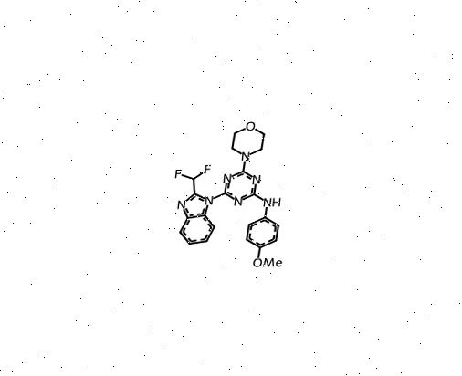 COc1ccc(Nc2nc(N3CCOCC3)nc(-n3c(C(F)F)nc4ccccc43)n2)cc1